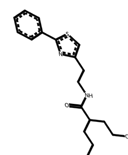 CCCC(CCO)C(=O)NCCc1csc(-c2ccccc2)n1